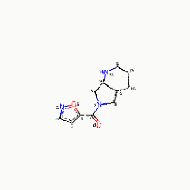 O=C(c1ccno1)N1CC2CCCNC2C1